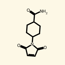 NC(=O)C1CCC(N2C(=O)C=CC2=O)CC1